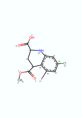 COC(=O)C1CC(C(=O)O)Nc2cc(Cl)cc(I)c21